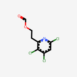 O=COCCc1nc(Cl)cc(Cl)c1Cl